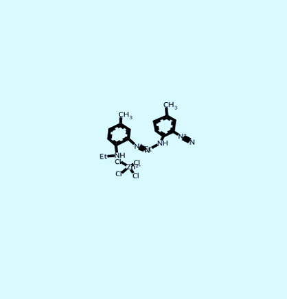 CCNc1ccc(C)cc1[N+]#N.CCNc1ccc(C)cc1[N+]#N.[Cl][Zn-2]([Cl])([Cl])[Cl]